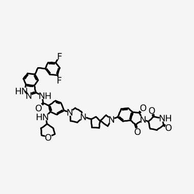 O=C1CCC(N2C(=O)c3ccc(N4CC5(CCC(N6CCN(c7ccc(C(=O)Nc8n[nH]c9ccc(Cc%10cc(F)cc(F)c%10)cc89)c(NC8CCOCC8)c7)CC6)C5)C4)cc3C2=O)C(=O)N1